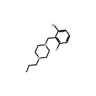 CCCN1CCN(Cc2c(F)cccc2Cl)CC1